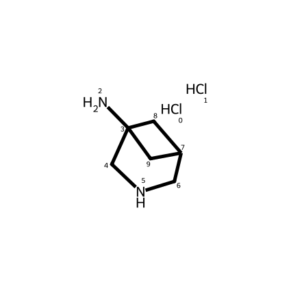 Cl.Cl.NC12CNCC(C1)C2